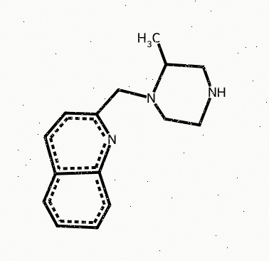 CC1CNCCN1Cc1ccc2ccccc2n1